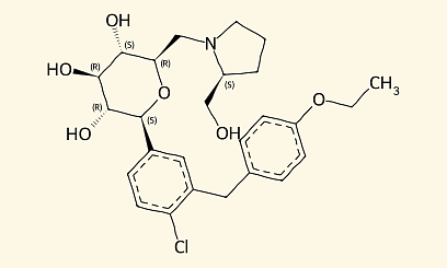 CCOc1ccc(Cc2cc([C@@H]3O[C@H](CN4CCC[C@H]4CO)[C@@H](O)[C@H](O)[C@H]3O)ccc2Cl)cc1